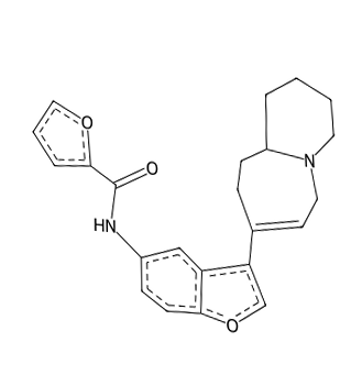 O=C(Nc1ccc2occ(C3=CCN4CCCCC4CC3)c2c1)c1ccco1